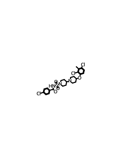 Cc1c(Cl)ccc(OC2CCN(C3CCN(S(=O)(=O)NC(=O)c4ccc(Cl)cc4)CC3)CC2)c1Cl